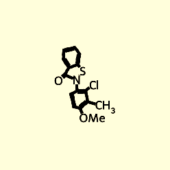 COc1ccc(-n2sc3ccccc3c2=O)c(Cl)c1C